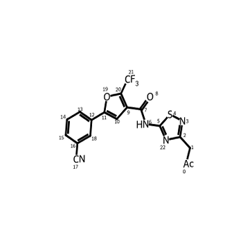 CC(=O)Cc1nsc(NC(=O)c2cc(-c3cccc(C#N)c3)oc2C(F)(F)F)n1